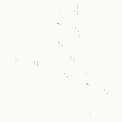 CN1Cc2c(nc(OC[C@@]34CCCN3C[C@H](F)C4)nc2N2CCC[C@]3(C2)NC(=O)NC3=O)C[C@]12CCc1cccc(Cl)c12